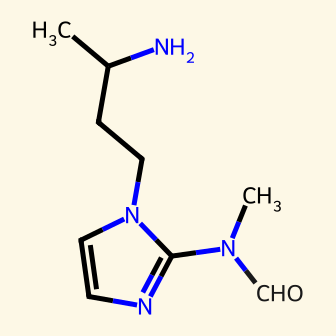 CC(N)CCn1ccnc1N(C)C=O